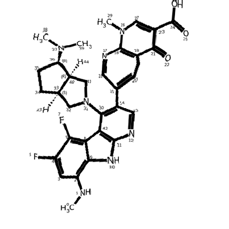 CNc1cc(F)c(F)c2c1[nH]c1ncc(-c3cnc4c(c3)c(=O)c(C(=O)O)cn4C)c(N3C[C@H]4CC[C@@H](N(C)C)[C@H]4C3)c12